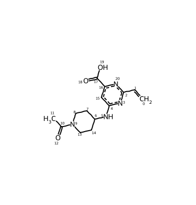 C=Cc1nc(NC2CCN(C(C)=O)CC2)cc(C(=O)O)n1